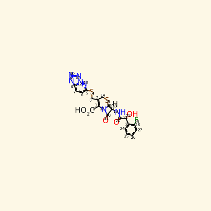 O=C(O)C1=C(CSc2ccc3nnnn3n2)CS[C@H]2C(NC(=O)C(O)c3ccccc3F)C(=O)N12